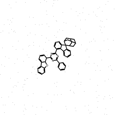 C1=CC(c2nc(-c3ccccc3)nc(-c3cccc4c3-c3ccccc3C43C4CC5CC(C4)CC3C5)n2)C2Oc3ccccc3C2=C1